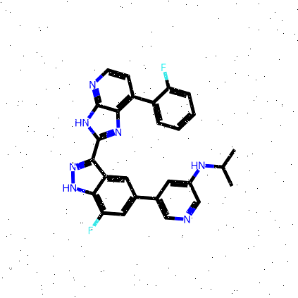 CC(C)Nc1cncc(-c2cc(F)c3[nH]nc(-c4nc5c(-c6ccccc6F)ccnc5[nH]4)c3c2)c1